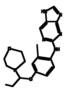 CCC(Oc1ccc(Nc2ncc3[nH]cnc3n2)c(C)c1)N1CCOCC1